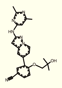 Cc1cc(Nc2cc3cc(-c4cc(C#N)ccc4OCC(C)(C)O)ccn3n2)nc(C)n1